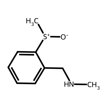 CNCc1ccccc1[S+](C)[O-]